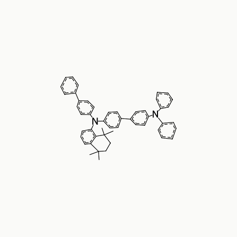 CC1(C)CCC(C)(C)c2c(N(c3ccc(-c4ccccc4)cc3)c3ccc(-c4ccc(N(c5ccccc5)c5ccccc5)cc4)cc3)cccc21